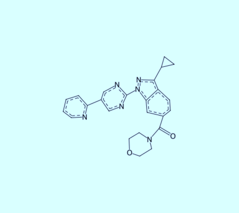 O=C(c1ccc2c(C3CC3)nn(-c3ncc(-c4ccccn4)cn3)c2c1)N1CCOCC1